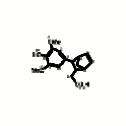 COc1cc(C2C3C=CC(C3)C2CC(=O)O)cc(OC)c1O